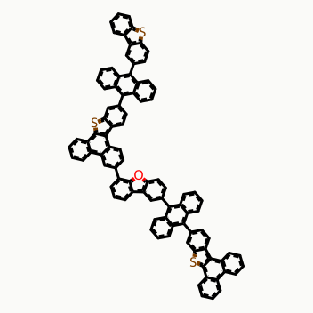 c1ccc2c(c1)sc1ccc(-c3c4ccccc4c(-c4ccc5c(c4)sc4c6ccccc6c6cc(-c7cccc8c7oc7ccc(-c9c%10ccccc%10c(-c%10ccc%11c(c%10)sc%10c%12ccccc%12c%12ccccc%12c%11%10)c%10ccccc9%10)cc78)ccc6c54)c4ccccc34)cc12